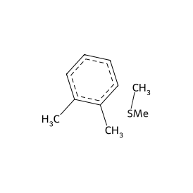 CSC.Cc1ccccc1C